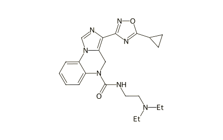 CCN(CC)CCNC(=O)N1Cc2c(-c3noc(C4CC4)n3)ncn2-c2ccccc21